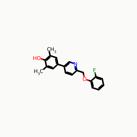 Cc1cc(-c2ccc(COc3ccccc3F)nc2)cc(C)c1O